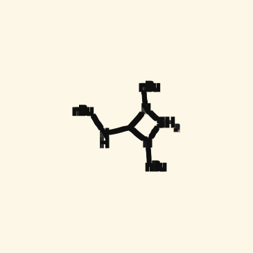 CCCCNC1N(CCCC)[SiH2]N1CCCC